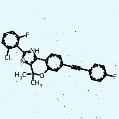 CC1(C)Oc2cc(C#Cc3ccc(F)cc3)ccc2-c2[nH]c(-c3c(F)cccc3Cl)nc21